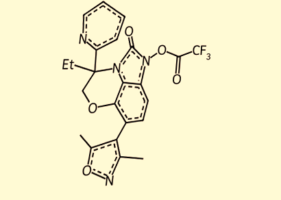 CCC1(c2ccccn2)COc2c(-c3c(C)noc3C)ccc3c2n1c(=O)n3OC(=O)C(F)(F)F